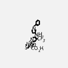 O=C(O)N(c1cscn1)S(=O)(=O)c1cc(C(F)(F)F)c(N[C@H]2CCN(Cc3ccccc3)C2)cn1